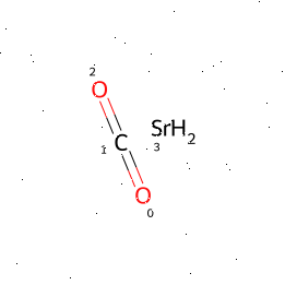 O=C=O.[SrH2]